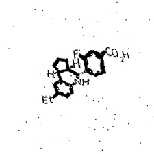 CCc1ccc2c(c1)[C@@H]1C=CC[C@@H]1[C@H](c1ccc(C(=O)O)cc1F)N2